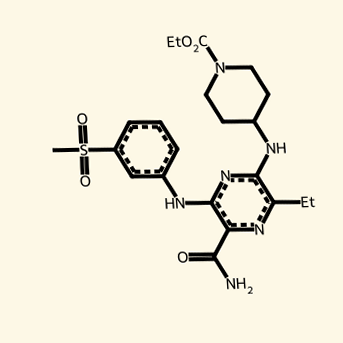 CCOC(=O)N1CCC(Nc2nc(Nc3cccc(S(C)(=O)=O)c3)c(C(N)=O)nc2CC)CC1